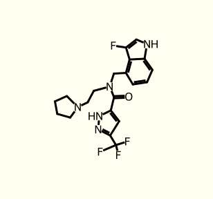 O=C(c1cc(C(F)(F)F)n[nH]1)N(CCN1CCCC1)Cc1cccc2[nH]cc(F)c12